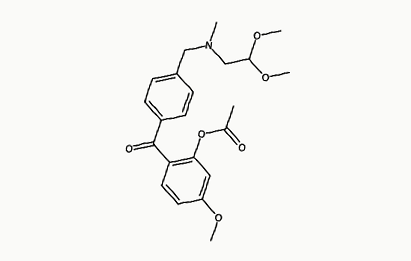 COc1ccc(C(=O)c2ccc(CN(C)CC(OC)OC)cc2)c(OC(C)=O)c1